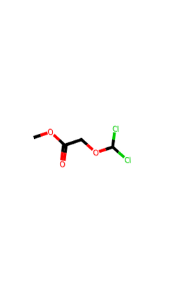 COC(=O)COC(Cl)Cl